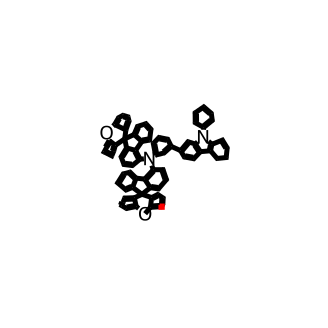 C1=Cc2c(c3ccc(-c4cccc(N(c5cccc6c5-c5ccccc5C65c6ccccc6Oc6ccccc65)c5cccc6c5-c5ccccc5C65c6ccccc6Oc6ccccc65)c4)cc3n2-c2ccccc2)CC1